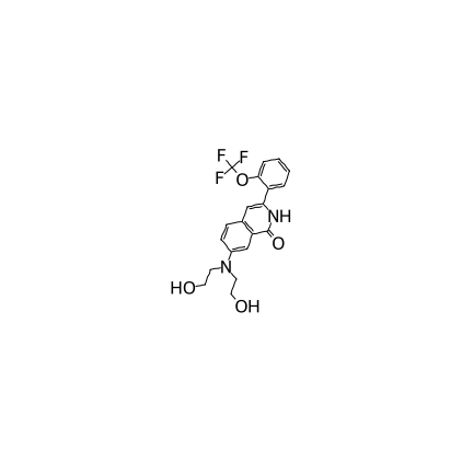 O=c1[nH]c(-c2ccccc2OC(F)(F)F)cc2ccc(N(CCO)CCO)cc12